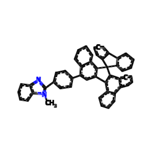 Cn1c(-c2ccc(-c3cc4c(c5ccccc35)C3(c5ccccc5-c5ccccc53)c3c-4c4ccccc4c4ccccc34)cc2)nc2ccccc21